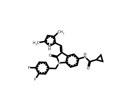 Cc1cc(C)c(/C=C2\C(=O)N(Cc3ccc(F)c(F)c3)c3ccc(NC(=O)C4CC4)cc32)[nH]1